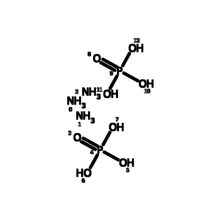 N.N.N.O=P(O)(O)O.O=P(O)(O)O